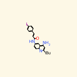 CCC(C)c1cc(N)c2cc(NC(=O)/C=C/c3ccc(I)cc3)ccc2n1